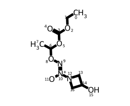 CCOC(=O)OC(C)ON=[N+]([O-])N1CC(O)C1